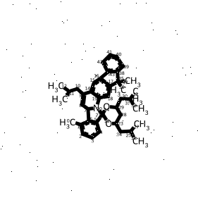 Cc1cccc2c1C1C=C(CC(C)C)c3cc4c(cc3N1C21OC(CC(C)C)CC(CC(C)C)O1)C(C)(C)c1ccccc1-4